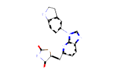 O=C1NC(=O)C(=Cc2ccc3ncn(-c4ccc5c(c4)CCN5)c3n2)S1